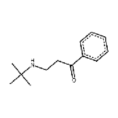 CC(C)(C)NCCC(=O)c1ccccc1